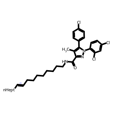 CCCCCCC/C=C/CCCCCCCCNC(=O)c1nn(-c2ccc(Cl)cc2Cl)c(-c2ccc(Cl)cc2)c1C